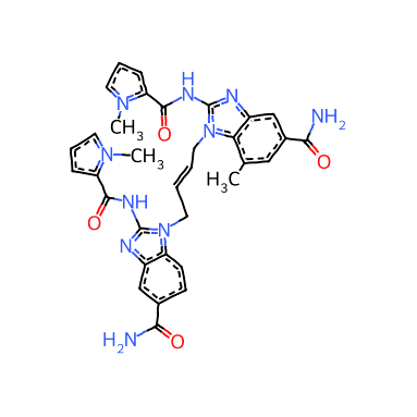 Cc1cc(C(N)=O)cc2nc(NC(=O)c3cccn3C)n(CC=CCn3c(NC(=O)c4cccn4C)nc4cc(C(N)=O)ccc43)c12